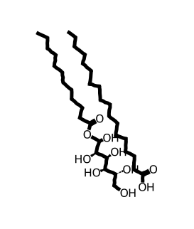 CCCCCCCCCCCC(=O)OC(O)[C@H](O)[C@@H](O)[C@H](O)[C@H](O)CO.CCCCCCCCCCCCCCCCCC(=O)O